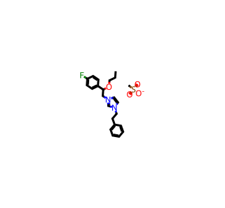 CCCOC(C[n+]1ccn(CCc2ccccc2)c1)c1ccc(F)cc1.CS(=O)(=O)[O-]